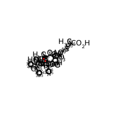 CC(=O)O[C@H]1C(=O)[C@@]2(C)C([C@H](OC(=O)c3ccccc3)[C@]3(O)C[C@H](OC(=O)[C@H](O)[C@@H](NC(=O)c4ccccc4)c4ccccc4)C(C)=C1C3(C)C)[C@]1(OC(C)=O)CO[C@@H]1C[C@@H]2OC(=O)OCCSSC[C@H](C)C(=O)O